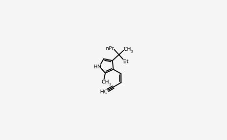 C#C/C=C\c1c(C(C)(CC)CCC)c[nH]c1C